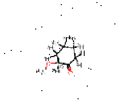 [2H]C1([2H])C(=O)[C@]([2H])(OC)C([2H])([2H])C([2H])([2H])C1([2H])[2H]